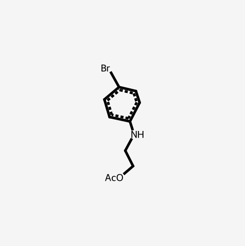 CC(=O)OCCNc1ccc(Br)cc1